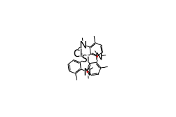 Cc1cccc([Si](Cl)(c2cccc(C)c2N(C)C)c2cccc(C)c2N(C)C)c1N(C)C